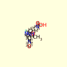 CC(OCC1(c2ccc(F)cc2)CCN(C(=O)O)CC1)c1cc(N2CCOCC2)cc2cn[nH]c12